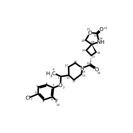 CC(Oc1ccc(Cl)cc1F)C1CCN(C(=O)[C@H]2C[C@]3(COC(=O)N3)C2)CC1